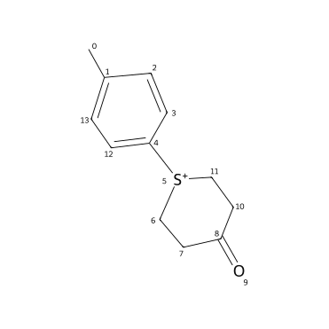 Cc1ccc([S+]2CCC(=O)CC2)cc1